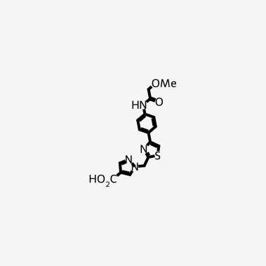 COCC(=O)Nc1ccc(-c2csc(Cn3cc(C(=O)O)cn3)n2)cc1